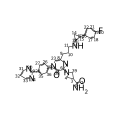 NC(=O)C1CN(c2nc(CCCN[C@@H]3C[C@H]3c3ccc(F)cc3)cn(-c3ccc(-c4ncccn4)cc3)c2=O)C1